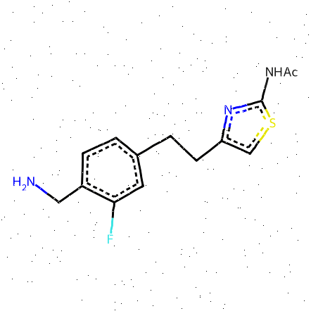 CC(=O)Nc1nc(CCc2ccc(CN)c(F)c2)cs1